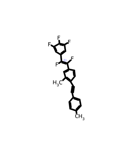 Cc1ccc(C#Cc2ccc(/C(F)=C(\F)c3cc(F)c(F)c(F)c3)cc2C)cc1